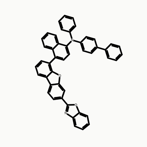 c1ccc(-c2ccc(N(c3ccccc3)c3ccc(-c4cccc5c4oc4cc(-c6nc7ccccc7o6)ccc45)c4ccccc34)cc2)cc1